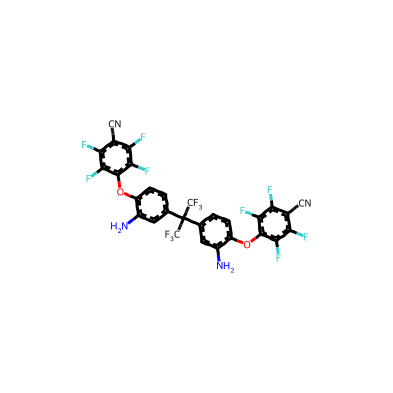 N#Cc1c(F)c(F)c(Oc2ccc(C(c3ccc(Oc4c(F)c(F)c(C#N)c(F)c4F)c(N)c3)(C(F)(F)F)C(F)(F)F)cc2N)c(F)c1F